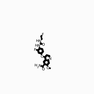 COc1cc2nccc(Oc3ccc(NC(=O)NCCF)c(F)c3)c2cc1C(N)=O